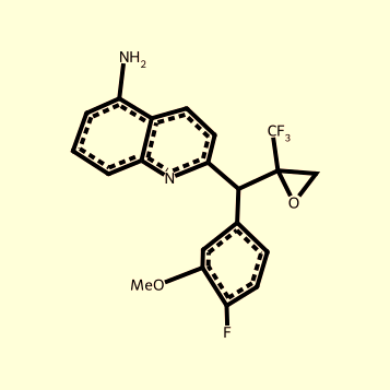 COc1cc(C(c2ccc3c(N)cccc3n2)C2(C(F)(F)F)CO2)ccc1F